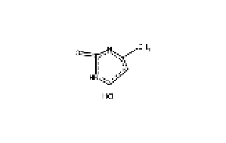 Cc1cc[nH]c(=O)n1.Cl